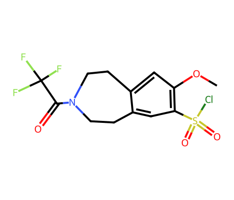 COc1cc2c(cc1S(=O)(=O)Cl)CCN(C(=O)C(F)(F)F)CC2